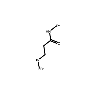 CCCNCCC(=O)NC(C)C